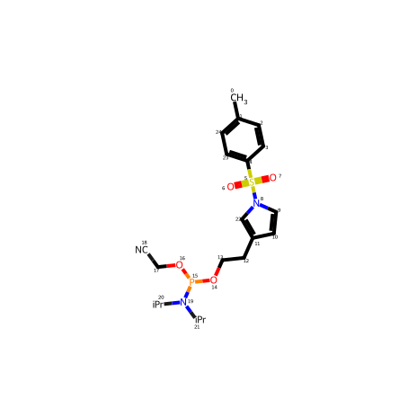 Cc1ccc(S(=O)(=O)n2ccc(CCOP(OCC#N)N(C(C)C)C(C)C)c2)cc1